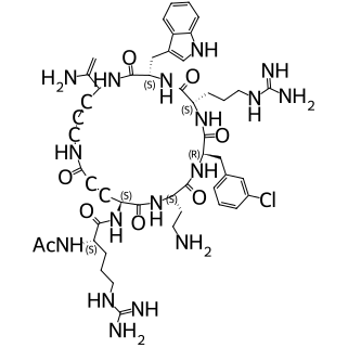 C=C(N)C1CCCNC(=O)CC[C@H](NC(=O)[C@H](CCCNC(=N)N)NC(C)=O)C(=O)N[C@@H](CCN)C(=O)N[C@H](Cc2cccc(Cl)c2)C(=O)N[C@@H](CCCNC(=N)N)C(=O)N[C@@H](Cc2c[nH]c3ccccc23)C(=O)N1